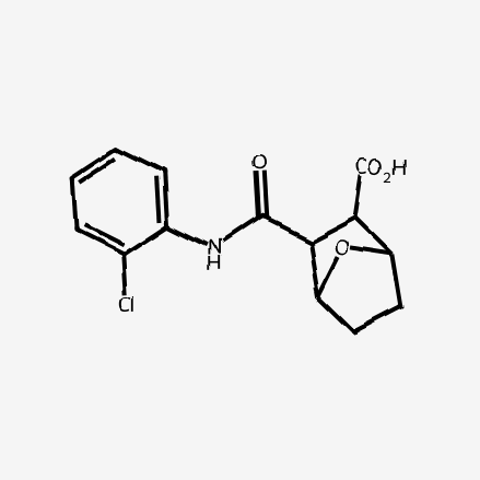 O=C(O)C1C2CCC(O2)C1C(=O)Nc1ccccc1Cl